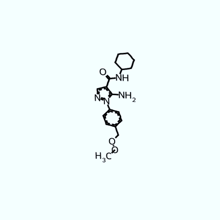 COOCc1ccc(-n2ncc(C(=O)NC3CCCCC3)c2N)cc1